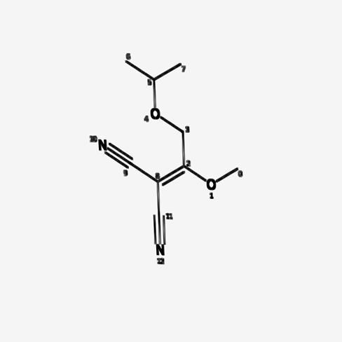 COC(COC(C)C)=C(C#N)C#N